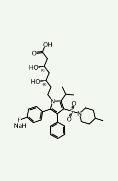 CC1CCN(S(=O)(=O)c2c(-c3ccccc3)c(-c3ccc(F)cc3)n(CC[C@@H](O)C[C@@H](O)CC(=O)O)c2C(C)C)CC1.[NaH]